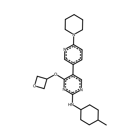 CC1CCC(Nc2ncc(-c3ccc(N4CCCCC4)nc3)c(OC3COC3)n2)CC1